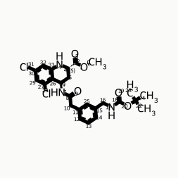 COC(=O)[C@@H]1C[C@@H](NC(=O)Cc2cccc(CNC(=O)OC(C)(C)C)c2)c2c(Cl)cc(Cl)cc2N1